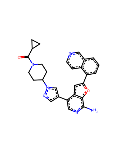 Nc1ncc(-c2cnn(C3CCN(C(=O)C4CC4)CC3)c2)c2cc(-c3cccc4cnccc34)oc12